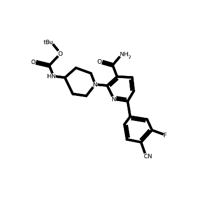 CC(C)(C)OC(=O)NC1CCN(c2nc(-c3ccc(C#N)c(F)c3)ccc2C(N)=O)CC1